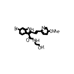 COc1ccc(/C=C/c2[nH]c3cc(Br)ccc3c2C(=O)NCCO)nc1